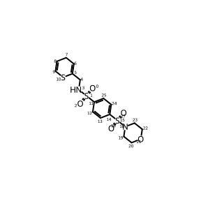 O=S(=O)(NCC1=CCC=CS1)c1ccc(S(=O)(=O)N2CCOCC2)cc1